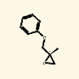 C[C@@]1(COc2ccccc2)CO1